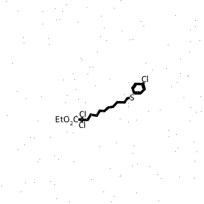 CCOC(=O)C(Cl)(Cl)CCCCCCCCCCSc1ccc(Cl)cc1